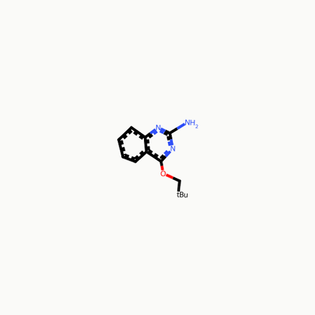 CC(C)(C)COc1nc(N)nc2ccccc12